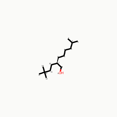 CC(C)CCCC[C@@H](CO)CCC(C)(C)C